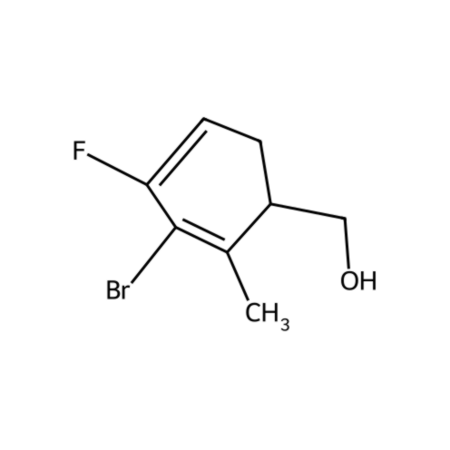 CC1=C(Br)C(F)=CCC1CO